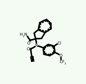 C#CC(=O)N(c1ccc(OC(F)(F)F)c(Cl)c1)C1(C(N)=O)Cc2ccccc2C1